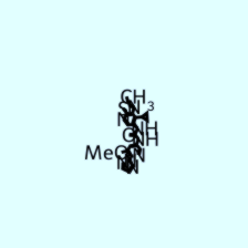 COc1cc(NC(=O)Nc2cnc3sc(C)nc3c2C2CC2)cnc1-n1nccn1